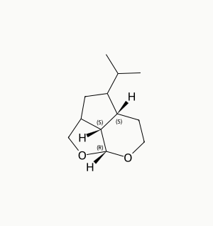 CC(C)C1CC2CO[C@H]3OCC[C@@H]1[C@@H]23